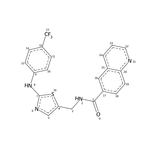 O=C(NCc1cnc(Nc2ccc(C(F)(F)F)cc2)s1)c1ccc2ncccc2c1